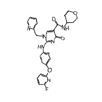 O=C(NC1CCOCC1)c1cn(Cc2ccccn2)c(Nc2ccc(Oc3cccc(F)n3)cc2)nc1=O